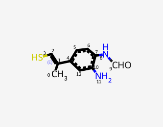 C/C(=C\S)c1ccc(NC=O)c(N)c1